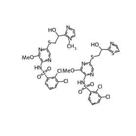 COc1nc(SCC(O)c2nccn2C)cnc1NS(=O)(=O)c1cccc(Cl)c1Cl.COc1nc(SCC(O)c2nccs2)cnc1NS(=O)(=O)c1cccc(Cl)c1Cl